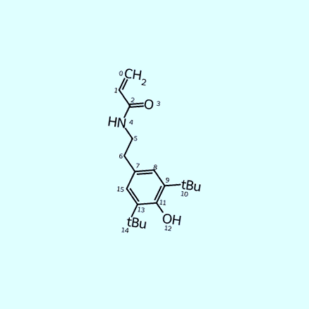 C=CC(=O)NCCc1cc(C(C)(C)C)c(O)c(C(C)(C)C)c1